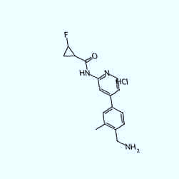 Cc1cc(-c2ccnc(NC(=O)C3CC3F)c2)ccc1CN.Cl